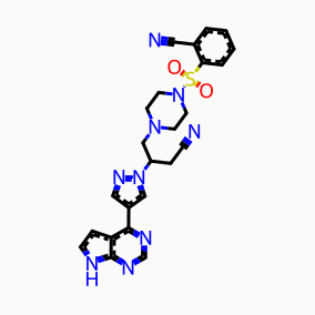 N#CCC(CN1CCN(S(=O)(=O)c2ccccc2C#N)CC1)n1cc(-c2ncnc3[nH]ccc23)cn1